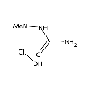 CNNC(N)=O.OCl